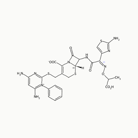 CC(O/N=C(\C(=O)NC1C(=O)N2C(C(=O)[O-])=C(CSc3nc(N)cc(N)[n+]3-c3ccccc3)CS[C@@H]12)c1csc(N)n1)C(=O)O